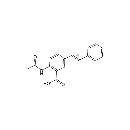 CC(=O)Nc1ccc(/C=C/c2ccccc2)cc1C(=O)O